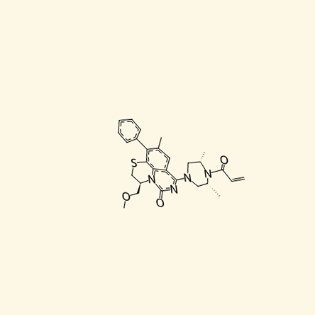 C=CC(=O)N1[C@H](C)CN(c2nc(=O)n3c4c(c(-c5ccccc5)c(C)cc24)SC[C@@H]3COC)C[C@@H]1C